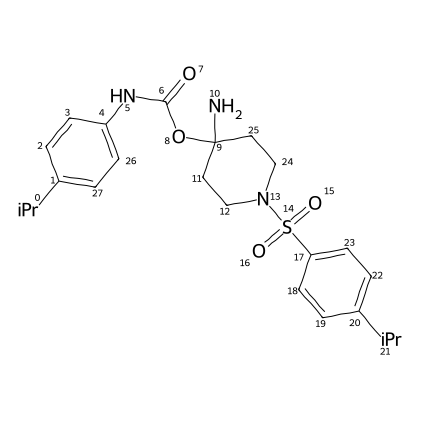 CC(C)c1ccc(NC(=O)OC2(N)CCN(S(=O)(=O)c3ccc(C(C)C)cc3)CC2)cc1